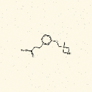 COC(=O)CCc1cccc(OCC2(C)CNC2)c1